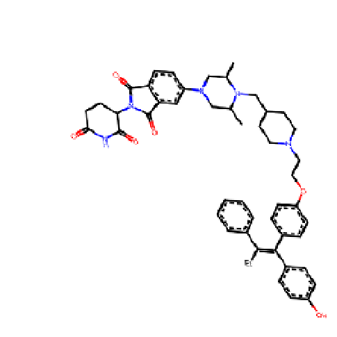 CCC(=C(c1ccc(O)cc1)c1ccc(OCCN2CCC(CN3C(C)CN(c4ccc5c(c4)C(=O)N(C4CCC(=O)NC4=O)C5=O)CC3C)CC2)cc1)c1ccccc1